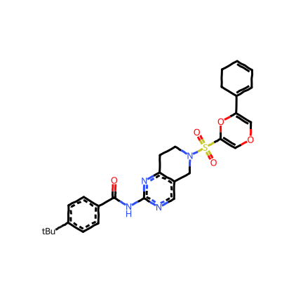 CC(C)(C)c1ccc(C(=O)Nc2ncc3c(n2)CCN(S(=O)(=O)C2=COC=C(C4=CC=CCC4)O2)C3)cc1